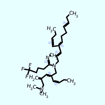 C=C(/C=C(\C=C/CC)CN(C/C=C/C(/C=C\CC)=C/CC/C=C/CC)/C(CCCC(F)(F)F)=N\C)CN(C)C